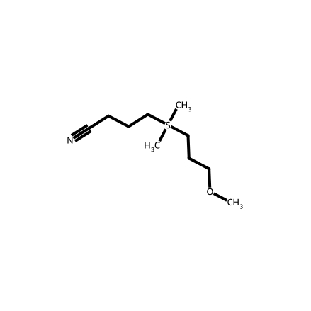 COCCCS(C)(C)CCCC#N